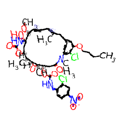 CCCCOc1cc2cc(c1Cl)N(C)C(=O)C[C@H](OC(=O)Nc1ccc([N+](=O)[O-])cc1Cl)[C@]1(C)O[C@H]1[C@H](C)[C@@H]1C[C@@](O)(NC(=O)O1)[C@H](OC)/C=C/C=C(\C)C2